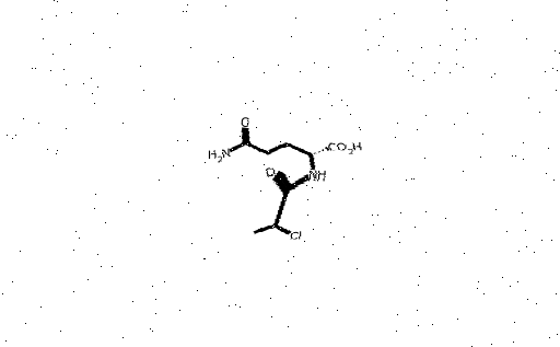 CC(Cl)C(=O)N[C@H](CCC(N)=O)C(=O)O